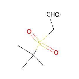 CC(C)(C)S(=O)(=O)C[C]=O